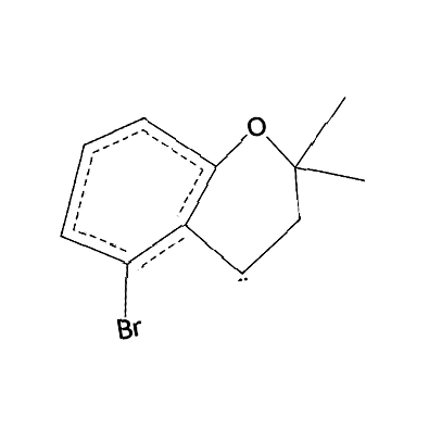 CC1(C)C[C]c2c(Br)cccc2O1